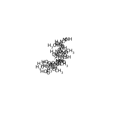 CC[C@H](C)[C@H](NC(=O)[C@H](CCC(=O)O)NC(=O)[C@H](CC(C)C)NC(=O)[C@H](Cc1c[nH]c2ccccc12)NC(=O)[C@H](C)NC(=O)[C@H](CS)NC(=O)[C@H](CCC(N)=O)NC(=O)[C@H](CC(C)C)NC(=O)[C@H](CC(C)C)NC(=O)[C@@H](N)Cc1c[nH]cn1)C(=O)O